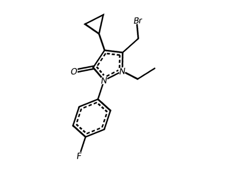 CCn1c(CBr)c(C2CC2)c(=O)n1-c1ccc(F)cc1